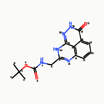 CC(C)(C)OC(=O)NCC1=Nc2cccc3c(=O)[nH]nc(c23)N1